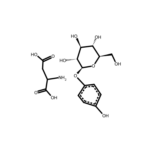 NC(CC(=O)O)C(=O)O.OC[C@H]1O[C@@H](Oc2ccc(O)cc2)[C@H](O)[C@@H](O)[C@@H]1O